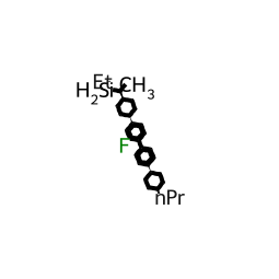 CCC[C@H]1CC[C@H](c2ccc(-c3ccc([C@H]4CC[C@H](C(C)[SiH2]CC)CC4)cc3F)cc2)CC1